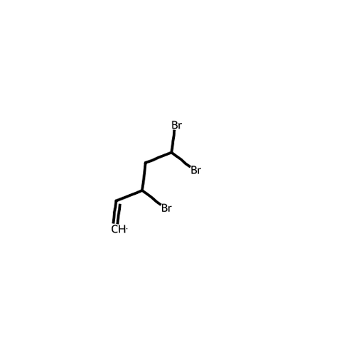 [CH]=CC(Br)CC(Br)Br